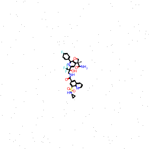 C[C@]1(C(N)=O)COc2c1cc(C(O)(CNC(=O)c1cc(S(=O)(=O)NC3CC3)c3ncccc3c1)C(F)(F)F)nc2-c1ccc(F)cc1